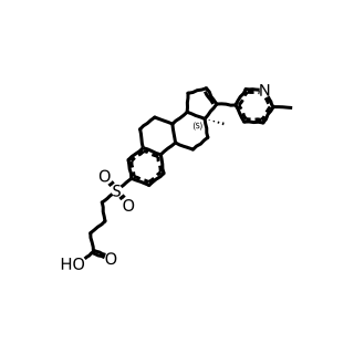 Cc1ccc(C2=CCC3C4CCc5cc(S(=O)(=O)CCCC(=O)O)ccc5C4CC[C@]23C)cn1